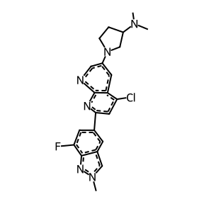 CN(C)C1CCN(c2cnc3nc(-c4cc(F)c5nn(C)cc5c4)cc(Cl)c3c2)C1